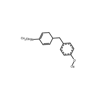 CN(O)C1=CCC(Cc2ccc(OC#N)cc2)C=C1